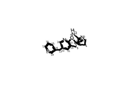 NC1N2CCC(CC2)[C@]12Cc1cc(Cc3cccnc3)cnc1O2